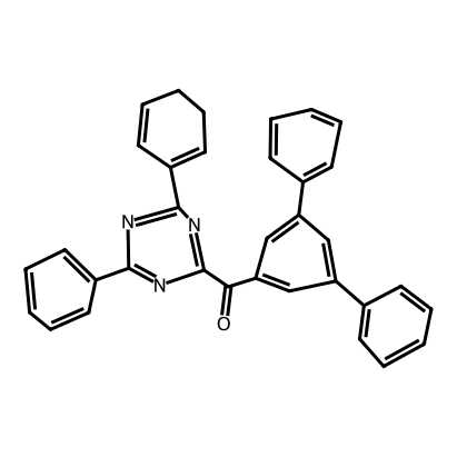 O=C(c1cc(-c2ccccc2)cc(-c2ccccc2)c1)c1nc(C2=CCCC=C2)nc(-c2ccccc2)n1